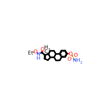 CCONC(=O)C1=CCC2C3CCc4cc(OS(N)(=O)=O)ccc4C3CC[C@]12C